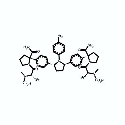 CC(C)[C@@H](C(=O)N1CCC[C@@]1(C(N)=O)c1ccc([C@H]2CC[C@H](c3ccc([C@]4(C(N)=O)CCCN4C(=O)[C@H](C(C)C)N(C)C(=O)O)nc3)N2c2ccc(C(C)(C)C)cc2)cn1)N(C)C(=O)O